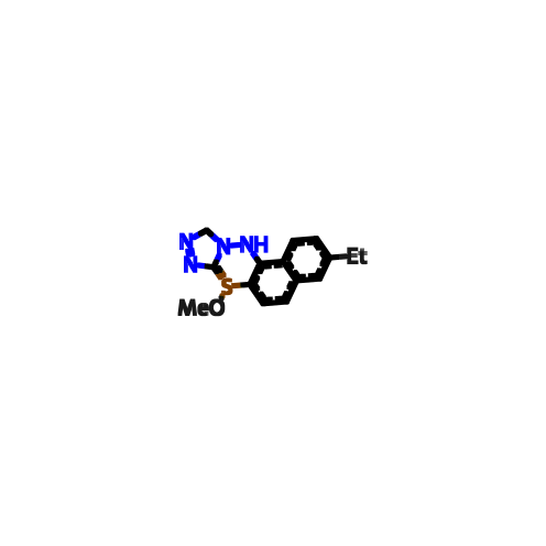 CCc1ccc2c3c(ccc2c1)S(OC)=C1N=NCN1N3